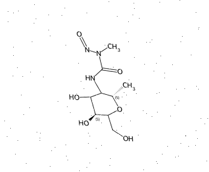 C[C@@H]1OC(CO)[C@@H](O)C(O)C1NC(=O)N(C)N=O